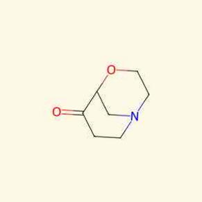 O=C1CCN2CCOC1C2